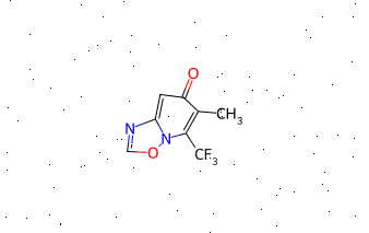 Cc1c(C(F)(F)F)n2ocnc2cc1=O